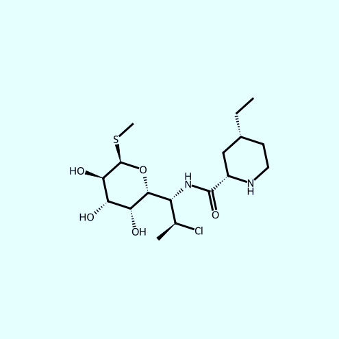 CC[C@@H]1CCN[C@H](C(=O)N[C@@H]([C@H]2O[C@H](SC)[C@H](O)[C@@H](O)[C@H]2O)[C@H](C)Cl)C1